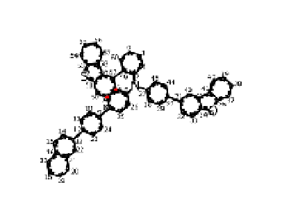 c1ccc(N(c2ccc(-c3ccc(-c4ccc5ccccc5c4)cc3)cc2)c2ccc(-c3ccc4oc5ccccc5c4c3)cc2)c(-c2cccc3sc4ccccc4c23)c1